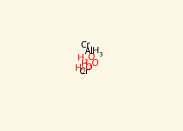 O.O.O.[AlH3].[Cr].[Cr]